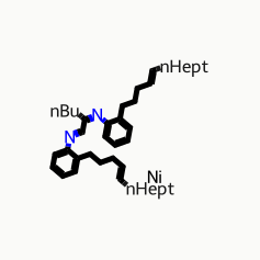 CCCCCCC/C=C/CCCc1ccccc1/N=C(\C=N\c1ccccc1CCC/C=C/CCCCCCC)CCCC.[Ni]